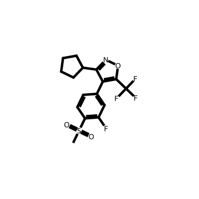 CS(=O)(=O)c1ccc(-c2c(C3CCCC3)noc2C(F)(F)F)cc1F